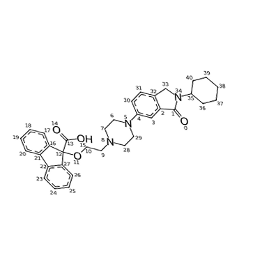 O=C1c2cc(N3CCN(CCOC4(C(=O)O)c5ccccc5-c5ccccc54)CC3)ccc2CN1C1CCCCC1